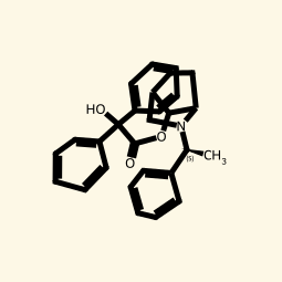 C[C@@H](c1ccccc1)N1CC2CCC1C2OC(=O)C(O)(c1ccccc1)c1ccccc1